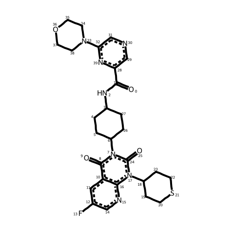 O=C(NC1CCC(n2c(=O)c3cc(F)cnc3n(C3CCSCC3)c2=O)CC1)c1cncc(N2CCOCC2)n1